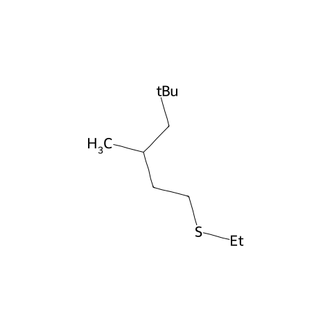 [CH2]CSCCC(C)CC(C)(C)C